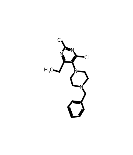 CCc1nc(Cl)nc(Cl)c1N1CCN(Cc2ccccc2)CC1